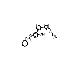 C[Si](C)(C)CCOCn1nnc(-c2cncc(-c3cc(OC(=O)NC4CCCCCC4)ccc3O)c2)n1